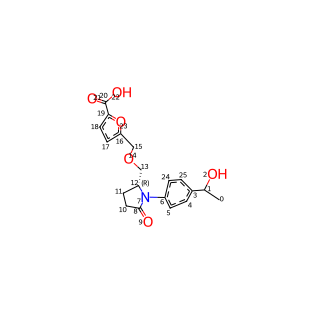 CC(O)c1ccc(N2C(=O)CC[C@@H]2COCc2ccc(C(=O)O)o2)cc1